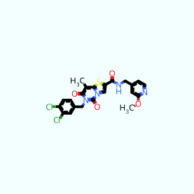 COc1cc(CNC(=O)c2cn3c(=O)n(Cc4ccc(Cl)c(Cl)c4)c(=O)c(C)c3s2)ccn1